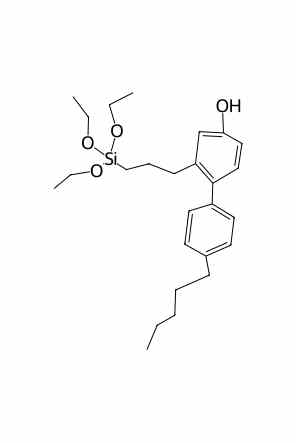 CCCCCc1ccc(-c2ccc(O)cc2CCC[Si](OCC)(OCC)OCC)cc1